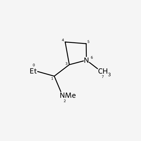 CCC(NC)C1CCN1C